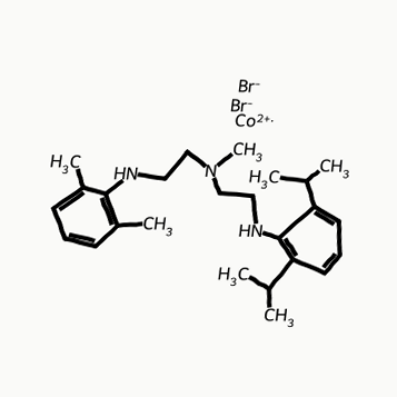 Cc1cccc(C)c1NCCN(C)CCNc1c(C(C)C)cccc1C(C)C.[Br-].[Br-].[Co+2]